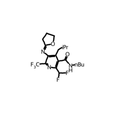 CCCCNC(=O)c1c(C(F)F)nc(C(F)(F)F)c(N=C2CCCO2)c1CC(C)C